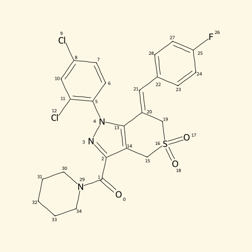 O=C(c1nn(-c2ccc(Cl)cc2Cl)c2c1CS(=O)(=O)C/C2=C\c1ccc(F)cc1)N1CCCCC1